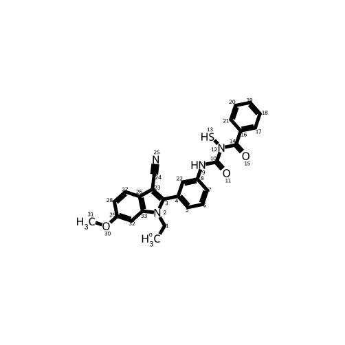 CCn1c(-c2cccc(NC(=O)N(S)C(=O)c3ccccc3)c2)c(C#N)c2ccc(OC)cc21